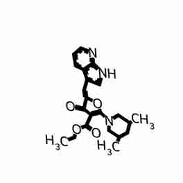 CCOC(=O)C1=C(N2CC(C)CC(C)C2)O/C(=C\c2c[nH]c3ncccc23)C1=O